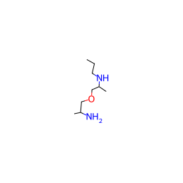 CCCNC(C)COCC(C)N